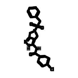 O=C(Nc1[nH]nc2c1CN(S(=O)(=O)Cc1ccccc1)C2)c1ccc(Cl)cc1